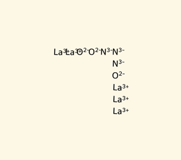 [La+3].[La+3].[La+3].[La+3].[La+3].[N-3].[N-3].[N-3].[O-2].[O-2].[O-2]